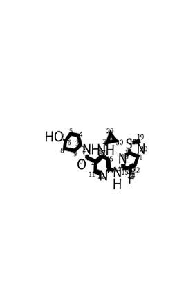 O=C(N[C@H]1CC[C@H](O)CC1)c1cnc(NC2=NC3SC=NC3C=C2F)cc1NC1CC1